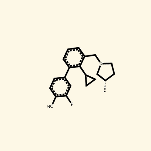 C[C@H]1CCN(Cc2cccc(-c3ccc(C#N)c(F)c3)c2C2CC2)C1